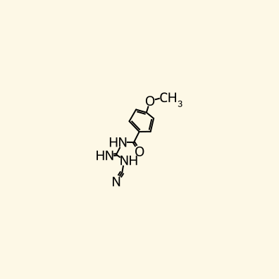 COc1ccc(C(=O)NC(=N)NC#N)cc1